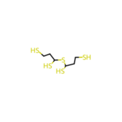 SCCC(S)SC(S)CCS